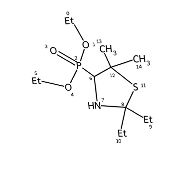 CCOP(=O)(OCC)C1NC(CC)(CC)SC1(C)C